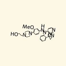 COc1cc(NN(c2ccncn2)c2ccccc2C2(C#N)CC2)ccc1N1CCN(CCO)CC1